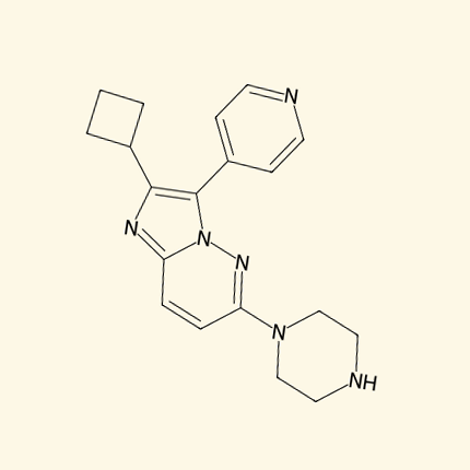 c1cc(-c2c(C3CCC3)nc3ccc(N4CCNCC4)nn23)ccn1